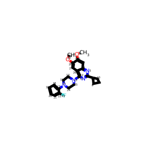 COc1cc2nc(C3CCC3)nc(N3CCN(c4ccccc4F)CC3)c2cc1OC